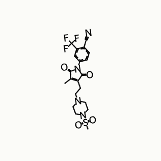 CC1=C(CCN2CCN(S(C)(=O)=O)CC2)C(=O)N(c2ccc(C#N)c(C(F)(F)F)c2)C1=O